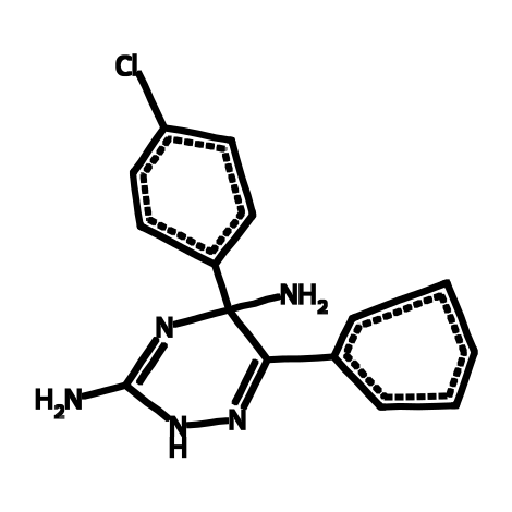 NC1=NC(N)(c2ccc(Cl)cc2)C(c2ccccc2)=NN1